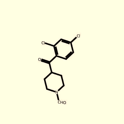 O=CN1CCC(C(=O)c2ccc(Cl)cc2Cl)CC1